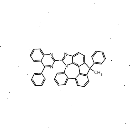 CC1(c2ccccc2)c2cccc3c2-c2c1ccc1nc(-c4nc(-c5ccccc5)c5ccccc5n4)n(c21)-c1ccccc1-3